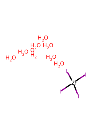 O.O.O.O.O.O.O.O.[I][Zr]([I])([I])[I]